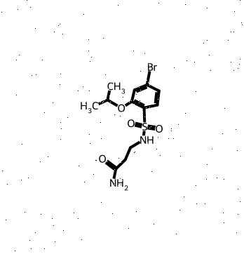 CC(C)Oc1cc(Br)ccc1S(=O)(=O)NCCC(N)=O